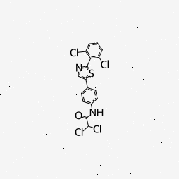 O=C(Nc1ccc(-c2cnc(-c3c(Cl)cccc3Cl)s2)cc1)C(Cl)Cl